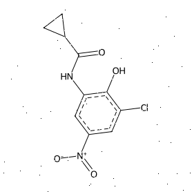 O=C(Nc1cc([N+](=O)[O-])cc(Cl)c1O)C1CC1